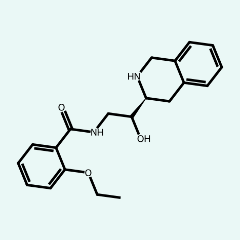 CCOc1ccccc1C(=O)NCC(O)[C@@H]1Cc2ccccc2CN1